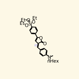 CCCCCCN(C)c1ccc(/C=C2/C=C(c3ccc([Si](OCC)(OCC)OCC)cc3)OC2=O)cc1